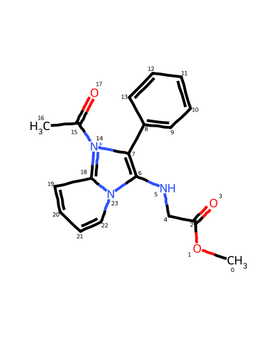 COC(=O)CNc1c(-c2ccccc2)[n+](C(C)=O)c2ccccn12